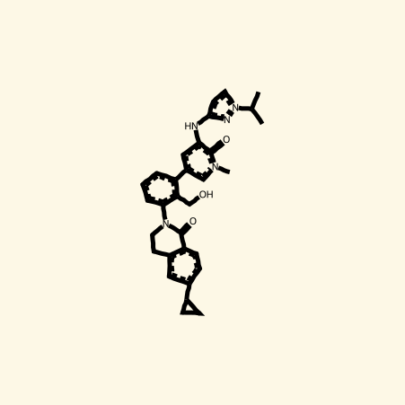 CC(C)n1ccc(Nc2cc(-c3cccc(N4CCc5cc(C6CC6)ccc5C4=O)c3CO)cn(C)c2=O)n1